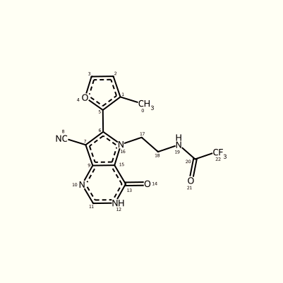 Cc1ccoc1-c1c(C#N)c2nc[nH]c(=O)c2n1CCNC(=O)C(F)(F)F